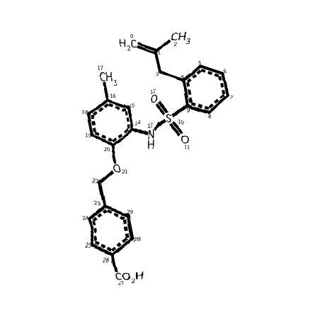 C=C(C)Cc1ccccc1S(=O)(=O)Nc1cc(C)ccc1OCc1ccc(C(=O)O)cc1